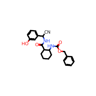 N#CC(NC(=O)C1CCCCC1NC(=O)OCc1ccccc1)c1cccc(O)c1